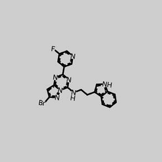 Fc1cncc(-c2nc(NCCc3c[nH]c4ccccc34)n3nc(Br)cc3n2)c1